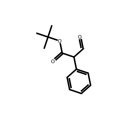 CC(C)(C)OC(=O)C([C]=O)c1ccccc1